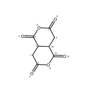 O=C1CC2C(=O)OC(=O)CC2C(=O)O1